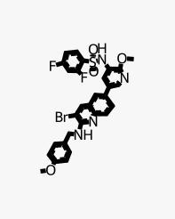 COc1ccc(CNc2nc3ccc(-c4cnc(OC)c(NS(=O)(=O)c5ccc(F)cc5F)c4)cc3cc2Br)cc1